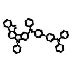 c1ccc(N(c2ccccc2)c2ccc(-c3ccc(N(c4ccccc4)c4ccc5c(c4)c4c6sc7ccccc7c6ccc4n5-c4ccccc4)cc3)cc2)cc1